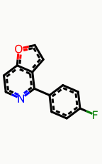 Fc1ccc(-c2nccc3occc23)cc1